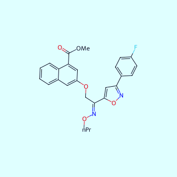 CCCO/N=C(\COc1cc(C(=O)OC)c2ccccc2c1)c1cc(-c2ccc(F)cc2)no1